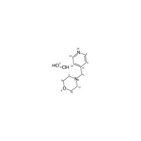 Cl.Cl.c1cc(CN2CCOCC2)ccn1